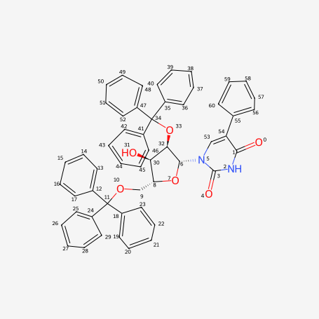 O=c1[nH]c(=O)n([C@@H]2O[C@H](COC(c3ccccc3)(c3ccccc3)c3ccccc3)[C@@H](O)[C@H]2OC(c2ccccc2)(c2ccccc2)c2ccccc2)cc1-c1ccccc1